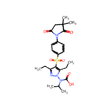 CCc1nn(N(C(=O)O)C(C)C)c(CC)c1S(=O)(=O)c1ccc(N2C(=O)CC(C)(C)C2=O)cc1